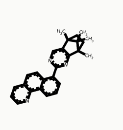 CC12CCC(C)(c3nc(-c4cccc5c4ccc4cccnc45)ncc31)C2(C)C